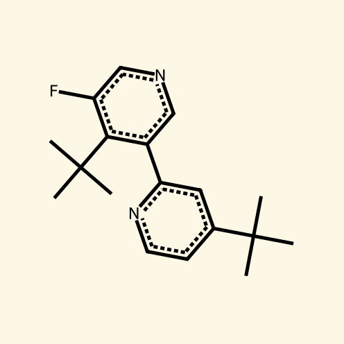 CC(C)(C)c1ccnc(-c2cncc(F)c2C(C)(C)C)c1